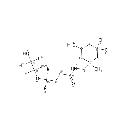 CC1CC(C)(C)CC(C)(CNC(=O)OCC(F)(F)OC(F)(F)C(O)(F)F)C1